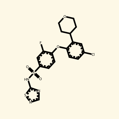 O=S(=O)(Nc1ncns1)c1ccc(Oc2ccc(Cl)cc2C2CCOCC2)c(F)c1